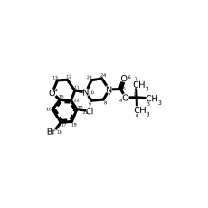 CC(C)(C)OC(=O)N1CCN(C2CCOc3cc(Br)cc(Cl)c32)CC1